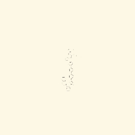 COC(=O)N[C@H](C(=O)N1CCC[C@H]1c1ncc(-c2ccc(-c3ccc(-c4cnc([C@@H]5C6CCC(C6)C5C(=O)NC(C)c5cnccn5)[nH]4)cc3)cc2)[nH]1)[C@@H](C)OC